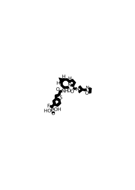 O=C(N[C@H]1C[C@@H]2C[C@@H]2C[C@H]2CC[C@@H](C(=O)N3CC(c4ncco4)C3)N2C1=O)c1cc2cc(C(F)P(=O)(O)O)ccc2s1